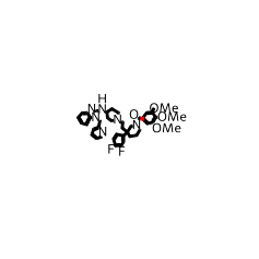 COc1cc(C(=O)N2CCCC(CCN3CCC(Nc4nc5ccccc5n4Cc4ccccn4)CC3)(c3ccc(F)c(F)c3)C2)cc(OC)c1OC